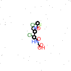 O=C(O)CCNC(=O)c1ccc(Cl)c(-c2ccc3c(c2)CCCN3C(=O)c2c(F)cccc2Cl)c1